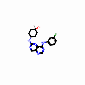 C[C@]1(O)CC[C@@H](Nc2ncc3ncnc(Nc4cccc(Br)c4)c3n2)CC1